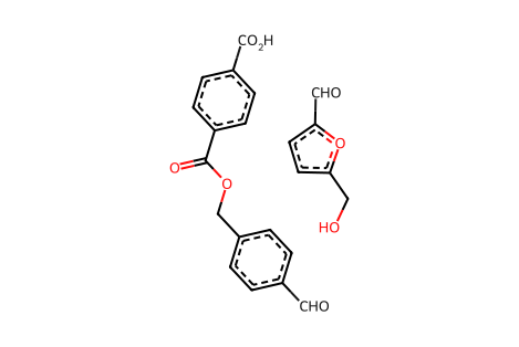 O=Cc1ccc(CO)o1.O=Cc1ccc(COC(=O)c2ccc(C(=O)O)cc2)cc1